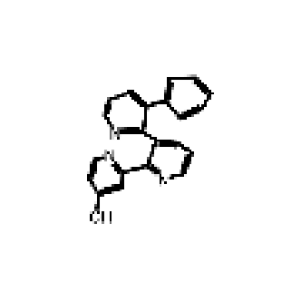 Oc1ccnc(-c2ncccc2-c2ncccc2-c2ccccc2)c1